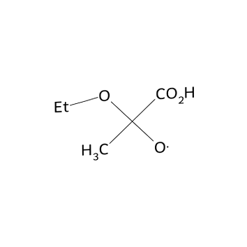 CCOC(C)([O])C(=O)O